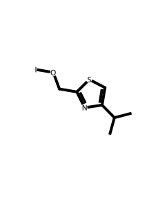 CC(C)c1csc(COI)n1